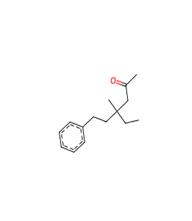 CCC(C)(CCc1ccccc1)CC(C)=O